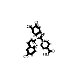 O=C(O)C1CCN(c2nc3cc(Cl)c(Cl)cc3n2-c2ccc3cc(Cl)ccc3n2)CC1